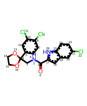 O=C(NCC1(c2ccc(Cl)c(Cl)c2)OCCO1)c1cc2cc(Cl)ccc2[nH]1